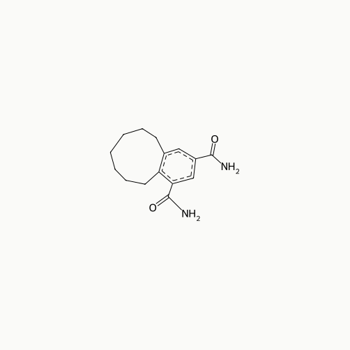 NC(=O)c1cc2c(c(C(N)=O)c1)CCCCCCC2